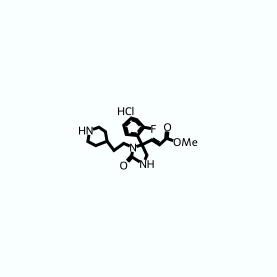 COC(=O)C=CC1(c2ccccc2F)CNC(=O)N1CCC1CCNCC1.Cl